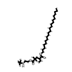 CCCCCCCCCCCCCCCCCCCCCCOC(=O)C(CC)CC(C)(C)C(=O)OCCNC(C)(C)C